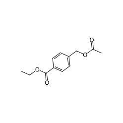 CCOC(=O)c1ccc(COC(C)=O)cc1